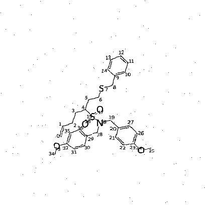 C=CCCC(CCSCc1ccccc1)S(=O)(=O)N(Cc1ccc(OC)cc1)Cc1ccc(OC)cc1